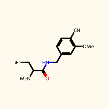 CNC(CC(C)C)C(=O)NCc1ccc(C#N)c(OC)c1